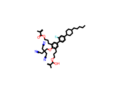 C=C(C)C(=O)OCCCc1cc(-c2ccc(C3CCC(CCCCC)CC3)cc2F)cc(CCCOC(O)C(=C)C)c1OCC(CC#N)(CC#N)CC#N